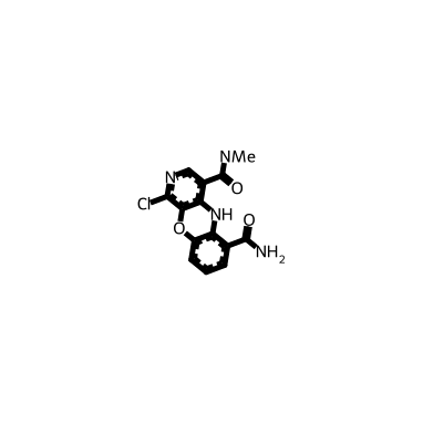 CNC(=O)c1cnc(Cl)c2c1Nc1c(cccc1C(N)=O)O2